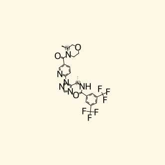 C[C@H](NC(=O)c1cc(C(F)(F)F)cc(C(F)(F)F)c1)c1ncnn1-c1ccc(C(=O)N2CCOC[C@@H]2C)cn1